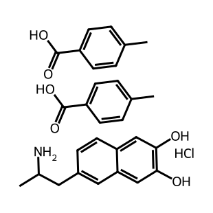 CC(N)Cc1ccc2cc(O)c(O)cc2c1.Cc1ccc(C(=O)O)cc1.Cc1ccc(C(=O)O)cc1.Cl